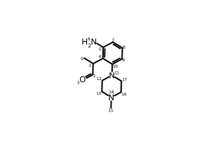 CC(C=O)c1c(N)cccc1N1CCN(C)CC1